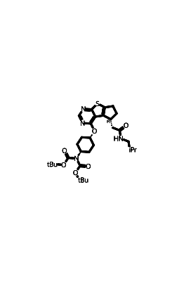 CC(C)CNC(=O)C[C@H]1CCc2sc3ncnc(O[C@H]4CC[C@H](N(C(=O)OC(C)(C)C)C(=O)OC(C)(C)C)CC4)c3c21